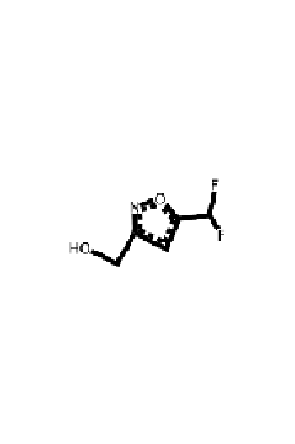 OCc1cc(C(F)F)on1